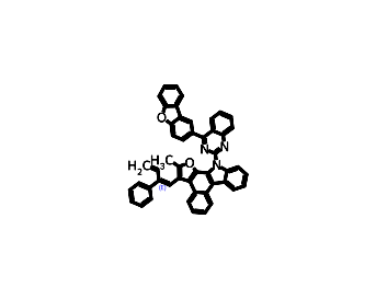 C=C/C(=C\c1c(C)oc2c1c1ccccc1c1c3ccccc3n(-c3nc(-c4ccc5oc6ccccc6c5c4)c4ccccc4n3)c21)c1ccccc1